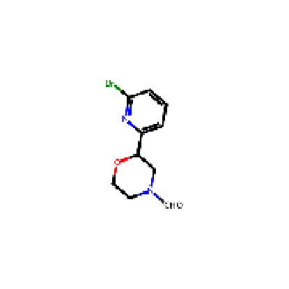 O=CN1CCOC(c2cccc(Br)n2)C1